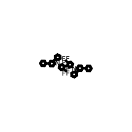 FC(F)(F)c1ccc(-n2c3ccccc3c3cc(-c4ccccc4)ccc32)cc1-c1cc(-n2c3ccccc3c3cc(-c4ccccc4)ccc32)ccc1C(F)(F)F